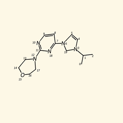 CC(C)N1C=CN(c2ccnc(N3CCOCC3)n2)C1